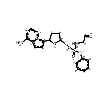 Nc1ncnn2c(C3CCC(COP(=O)(NCC=O)Oc4ccccc4)O3)ccc12